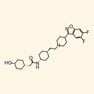 O=C(C[C@H]1CC[C@H](O)CC1)N[C@H]1CC[C@H](CCN2CCC(c3noc4cc(F)c(F)cc34)CC2)CC1